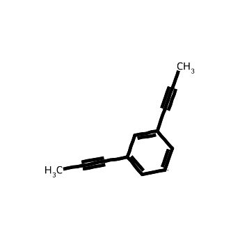 CC#Cc1c[c]cc(C#CC)c1